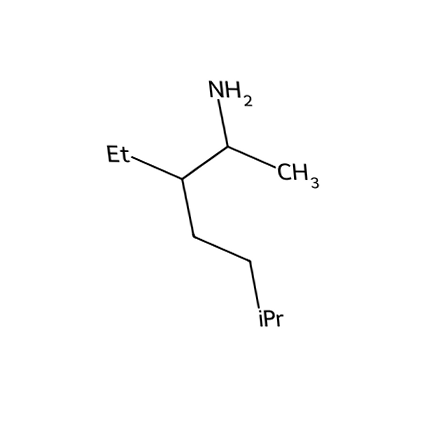 CCC(CCC(C)C)C(C)N